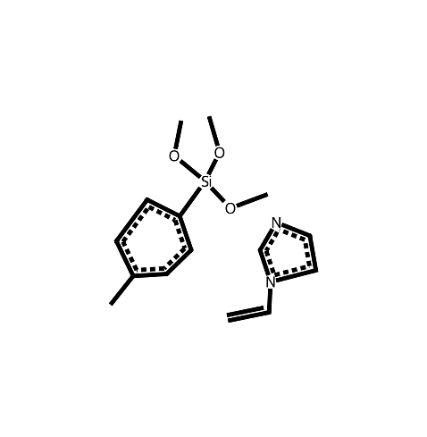 C=Cn1ccnc1.CO[Si](OC)(OC)c1ccc(C)cc1